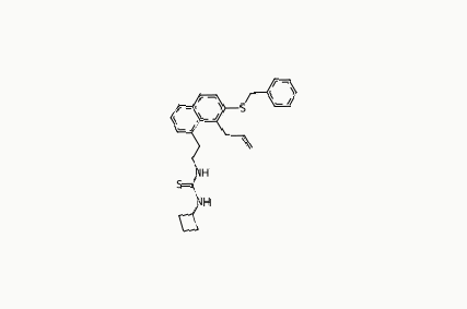 C=CCc1c(SCc2ccccc2)ccc2cccc(CCNC(=S)NC3CCC3)c12